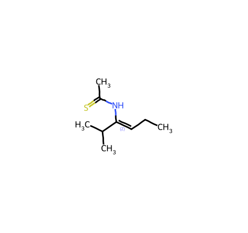 CC/C=C(\NC(C)=S)C(C)C